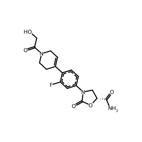 NC(=O)[C@H]1CN(c2ccc(C3=CCN(C(=O)CO)CC3)c(F)c2)C(=O)O1